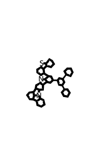 c1ccc(-c2cc(-c3ccccc3)cc(-c3cc4c5cc6c(cc5n5c7ccc8sc9ccccc9c8c7c(c3)c45)c3cccc4c5ccccc5n6c43)c2)cc1